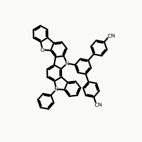 N#Cc1ccc(-c2cc(-c3ccc(C#N)cc3)cc(-n3c4ccc5c6ccccc6oc5c4c4ccc5c(c6ccccc6n5-c5ccccc5)c43)c2)cc1